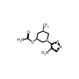 NC(=O)O[C@H]1C[C@@H](C(F)(F)F)CN(c2sncc2[N+](=O)[O-])C1